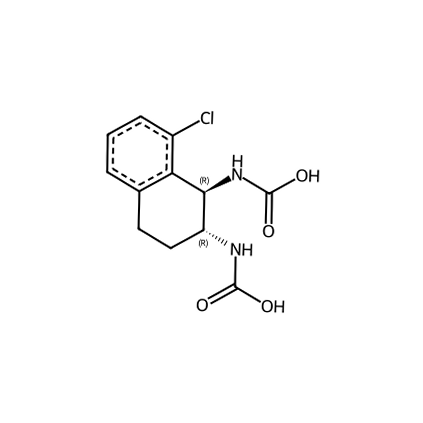 O=C(O)N[C@@H]1c2c(Cl)cccc2CC[C@H]1NC(=O)O